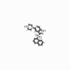 O=S(=O)(c1cccc2ccccc12)c1n[nH]c2cnc(N3CCNCC3)cc12